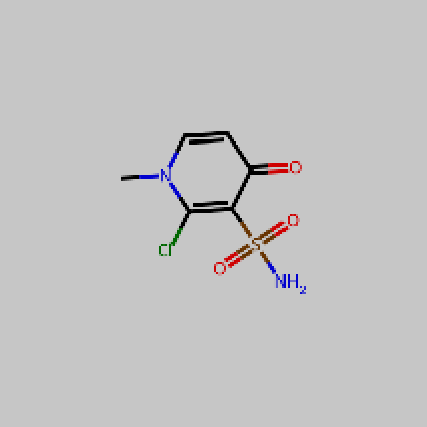 Cn1ccc(=O)c(S(N)(=O)=O)c1Cl